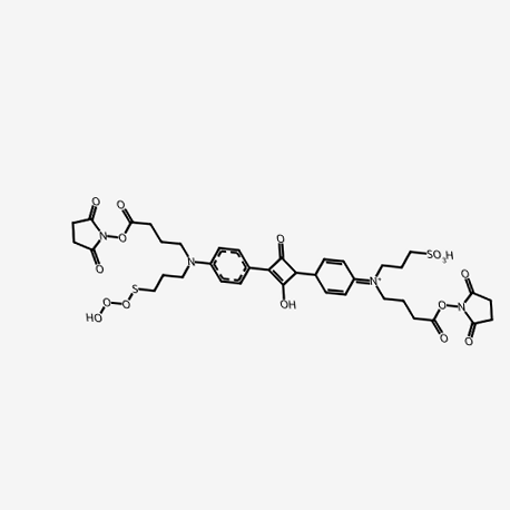 O=C(CCCN(CCCSOOO)c1ccc(C2=C(O)C(C3C=CC(=[N+](CCCC(=O)ON4C(=O)CCC4=O)CCCS(=O)(=O)O)C=C3)C2=O)cc1)ON1C(=O)CCC1=O